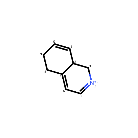 C1=CC2C[N+]=CC=C2CC1